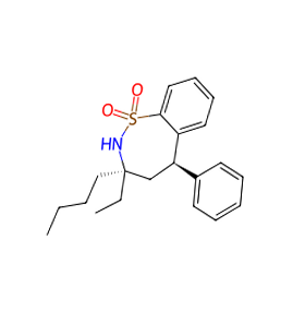 CCCC[C@@]1(CC)C[C@H](c2ccccc2)c2ccccc2S(=O)(=O)N1